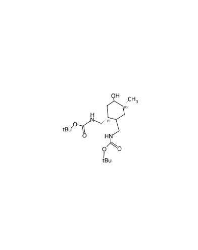 C[C@@H]1CC(CNC(=O)OC(C)(C)C)[C@H](CNC(=O)OC(C)(C)C)CC1O